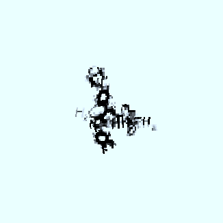 Cc1nn(-c2ccc(F)c(F)c2)c2nc(C(=O)NS(C)(=O)=O)cc(-c3ccc(N4CCOCC4)cc3)c12